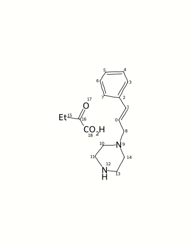 C(=C\c1ccccc1)/CN1CCNCC1.CCC(=O)C(=O)O